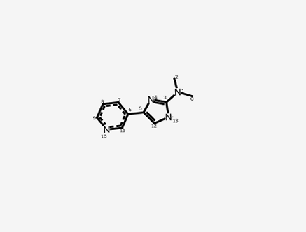 CN(C)C1=NC(c2cccnc2)=C[N]1